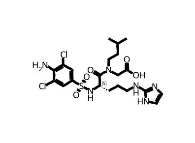 CC(C)CCN(CC(=O)O)C(=O)[C@H](CCCNc1ncc[nH]1)NS(=O)(=O)c1cc(Cl)c(N)c(Cl)c1